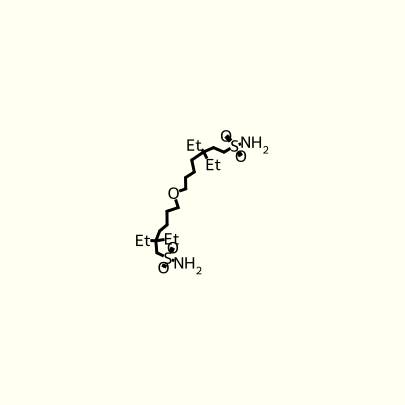 CCC(CC)(CCCCOCCCCC(CC)(CC)CS(N)(=O)=O)CCS(N)(=O)=O